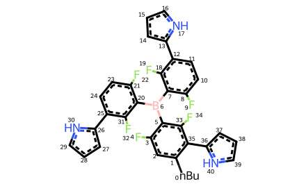 CCCCc1cc(F)c(B(c2c(F)ccc(-c3ccc[nH]3)c2F)c2c(F)ccc(-c3ccc[nH]3)c2F)c(F)c1-c1ccc[nH]1